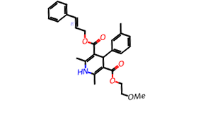 COCCOC(=O)C1=C(C)NC(C)=C(C(=O)OC/C=C/c2ccccc2)C1c1cccc(C)c1